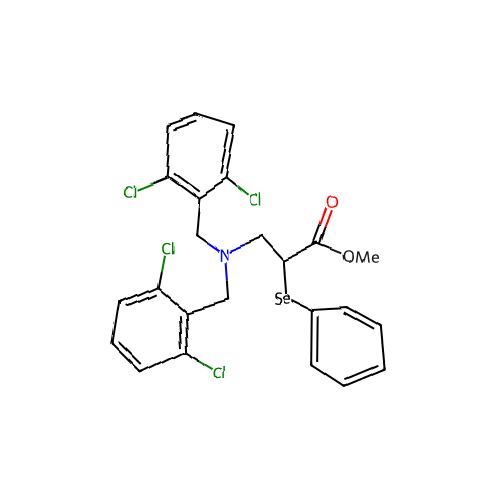 COC(=O)C(CN(Cc1c(Cl)cccc1Cl)Cc1c(Cl)cccc1Cl)[Se]c1ccccc1